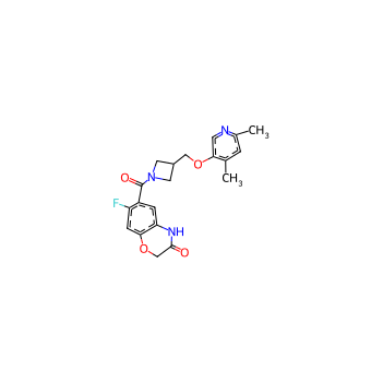 Cc1cc(C)c(OCC2CN(C(=O)c3cc4c(cc3F)OCC(=O)N4)C2)cn1